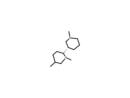 CC1CCC([C@H]2CCCN(C)C2)N(C)C1